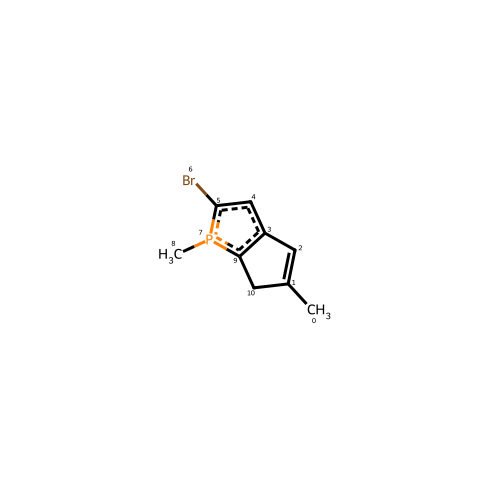 CC1=Cc2cc(Br)p(C)c2C1